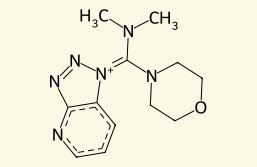 CN(C)C(N1CCOCC1)=[N+]1N=Nc2ncccc21